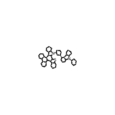 c1ccc(-n2c3ccccc3c3c(-c4cccc(-n5c6ccccc6c6c7c8ccccc8c8ccccc8c7c7c8ccccc8sc7c65)c4)cccc32)cc1